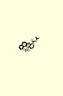 CC(C)OC(=O)N1CCC[C@@H](NS(C)(=O)=O)[C@H]1Cc1ccc2ccccc2c1